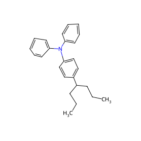 CCCC(CCC)c1ccc(N(c2ccccc2)c2ccccc2)cc1